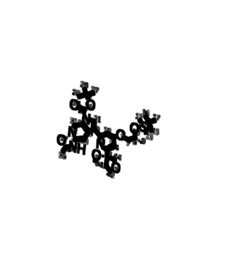 CO[C@@]1(c2cc(OC[C@@H](C)O[Si](C)(C)C(C)(C)C)cc(-c3cn(C(=O)OC(C)(C)C)c4cnc(NC(C)=O)cc34)n2)CCOC1